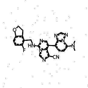 CN(C)c1ccc(-c2cnc(NCc3c(F)ccc4c3CCO4)n3cnc(C#N)c23)c2ncnn12